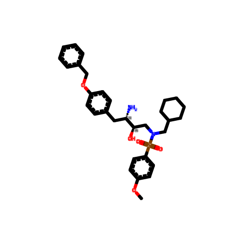 COc1ccc(S(=O)(=O)N(CC2CCCCC2)C[C@@H](O)[C@@H](N)Cc2ccc(OCc3ccccc3)cc2)cc1